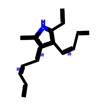 C=C/C=C\C=c1\c(/C=C\C=C)c(C=C)[nH]c1=C